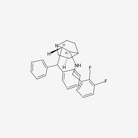 Fc1cccc(CN[C@@H]2C3CCN(CC3)[C@H]2C(c2ccccc2)c2ccccc2)c1F